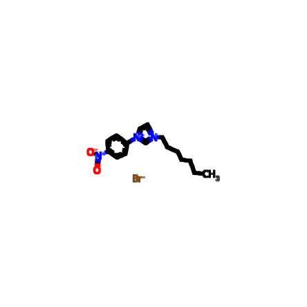 CCCCCCCn1cc[n+](-c2ccc([N+](=O)[O-])cc2)c1.[Br-]